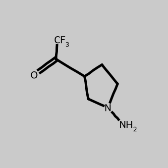 NN1CCC(C(=O)C(F)(F)F)C1